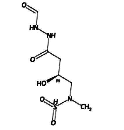 CN(C[C@@H](O)CC(=O)NNC=O)[SH](=O)=O